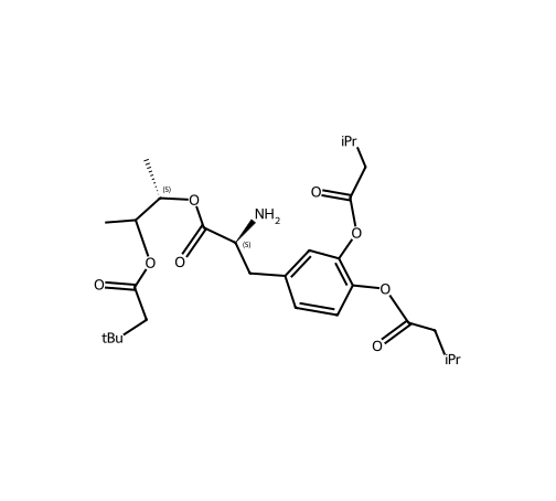 CC(C)CC(=O)Oc1ccc(C[C@H](N)C(=O)O[C@@H](C)C(C)OC(=O)CC(C)(C)C)cc1OC(=O)CC(C)C